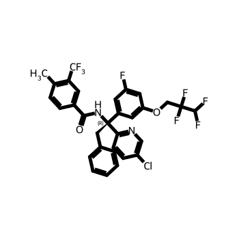 Cc1ccc(C(=O)N[C@](Cc2ccccc2)(c2cc(F)cc(OCC(F)(F)C(F)F)c2)c2ccc(Cl)cn2)cc1C(F)(F)F